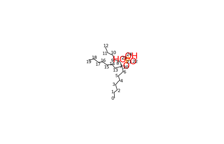 CCCCCCCC(CCCCC)(CCCCCCC)OP(=O)(O)O